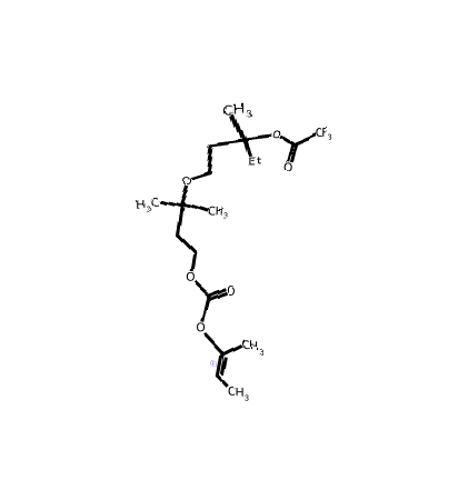 C/C=C(\C)OC(=O)OCCC(C)(C)OCCC(C)(CC)OC(=O)C(F)(F)F